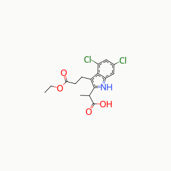 CCOC(=O)CCc1c(C(C)C(=O)O)[nH]c2cc(Cl)cc(Cl)c12